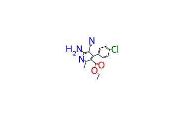 CCOC(=O)c1c(C)nc(N)c(C#N)c1-c1ccc(Cl)cc1